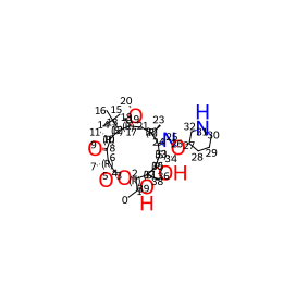 CC[C@H]1OC(=O)[C@H](C)C(=O)[C@H](C)[C@@H](C(C)(C)C)[C@](C)(OC)C[C@@H](C)C(=NOC2CCCNC2)[C@H](C)[C@@H](O)[C@]1(C)O